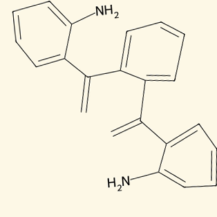 C=C(c1ccccc1N)c1ccccc1C(=C)c1ccccc1N